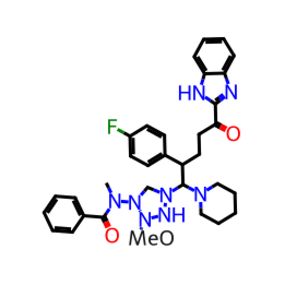 CON1NN(C(C(CCC(=O)c2nc3ccccc3[nH]2)c2ccc(F)cc2)N2CCCCC2)CN1N(C)C(=O)c1ccccc1